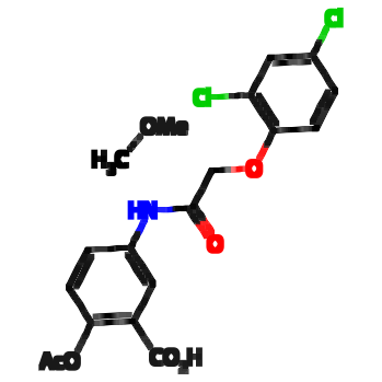 CC(=O)Oc1ccc(NC(=O)COc2ccc(Cl)cc2Cl)cc1C(=O)O.COC